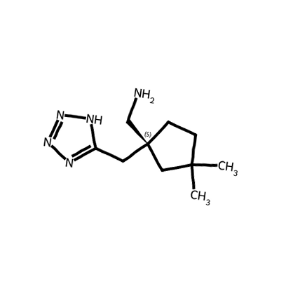 CC1(C)CC[C@@](CN)(Cc2nnn[nH]2)C1